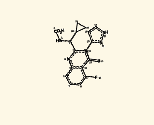 O=C(O)NC(c1nc2cccc(F)c2c(=O)n1-c1cc[nH]n1)C1CC1